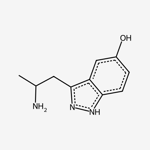 CC(N)Cc1n[nH]c2ccc(O)cc12